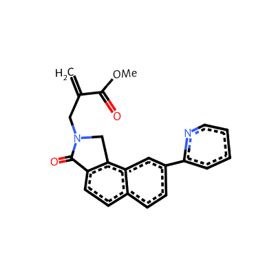 C=C(CN1Cc2c(ccc3ccc(-c4ccccn4)cc23)C1=O)C(=O)OC